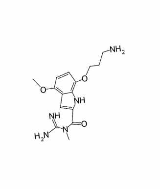 COc1ccc(OCCCN)c2[nH]c(C(=O)N(C)C(=N)N)cc12